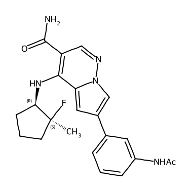 CC(=O)Nc1cccc(-c2cc3c(N[C@@H]4CCC[C@]4(C)F)c(C(N)=O)cnn3c2)c1